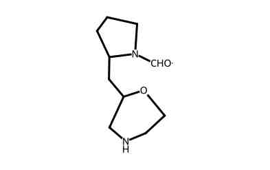 O=[C]N1CCCC1CC1CNCCO1